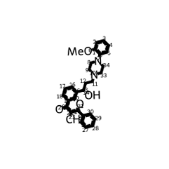 COc1ccccc1N1CCN(CCC(O)c2cccc3c(=O)c(C)c(-c4ccccc4)oc23)CC1